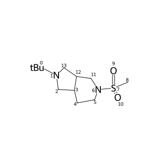 CC(C)(C)N1CC2CCN(S(C)(=O)=O)CC2C1